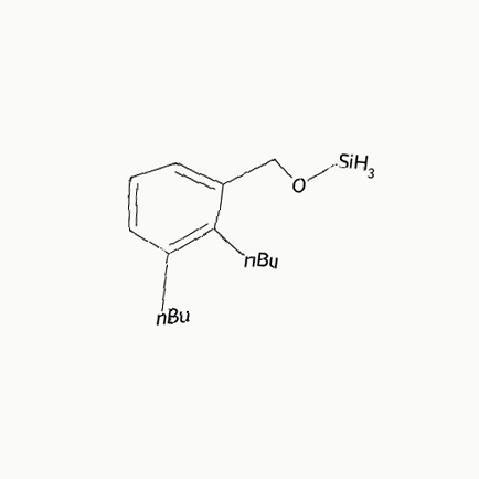 CCCCc1cccc(CO[SiH3])c1CCCC